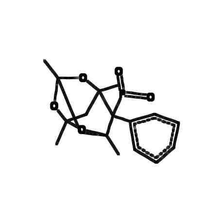 CC12CC3(C)OC(C)(CC(C)(O1)C3(c1ccccc1)P(=O)=O)O2